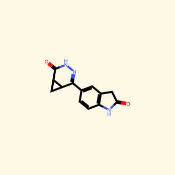 O=C1Cc2cc(C3=NNC(=O)C4CC34)ccc2N1